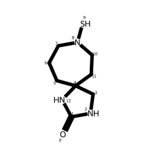 O=C1NCC2(CCCN(S)CC2)N1